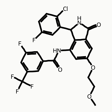 COCCOc1cc(NC(=O)c2cc(F)cc(C(F)(F)F)c2)c2c(c1)C(=O)NC2c1cc(F)ccc1Cl